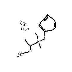 CCOC(C)[N+](C)(C)Cc1ccccc1.O.[Cl-]